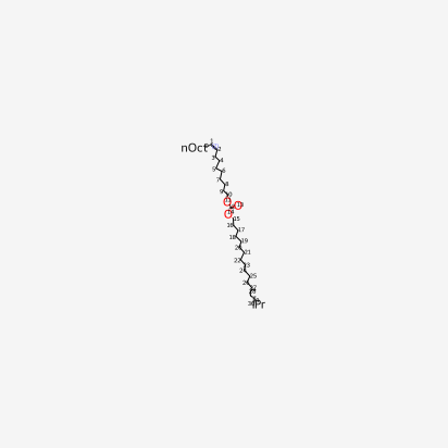 CCCCCCCC/C=C\CCCCCCCCOC(=O)OCCCCCCCCCCCCCCCC(C)C